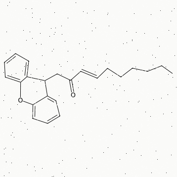 CCCCCCC=CC(=O)CC1c2ccccc2Oc2ccccc21